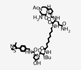 CC(=O)N1CC[C@H]2CC[C@@H](C(=O)N[C@@H](CCC(N)=O)C(=O)NCCCCCCCCC(=O)NC(C(=O)N3C[C@H](O)C[C@H]3C(=O)NCc3ccc(-c4scnc4C)cc3)C(C)(C)C)N2C(=O)[C@@H](N)C1